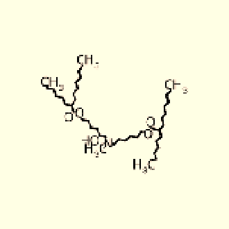 CCCCCCCCC(CCCCCC)C(=O)OCCCCCCN(C)CC(O)CCCCOC(=O)C(CCCCCC)CCCCCCCC